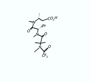 CC(C)[C@@H](C(=O)N(C)[C@H](C)CC(=O)O)N(C)C(=O)C(C)(C)N(C)C(=O)C(F)(F)F